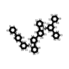 c1ccc(-c2ccc(-c3cccc(-n4c5ccccc5c5cc(-c6ccc7c(c6)c6ccccc6n7-c6cc(-c7ccccc7)cc(-c7ccccc7)c6)ccc54)c3)cc2)cc1